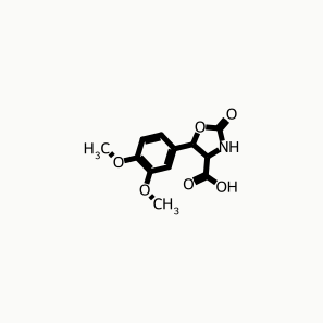 COc1ccc(C2OC(=O)NC2C(=O)O)cc1OC